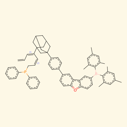 C=C/C=C(\C=C/CP(c1ccccc1)c1ccccc1)C12CC3CC(C1)CC(c1ccc(-c4ccc5oc6ccc(B(c7c(C)cc(C)cc7C)c7c(C)cc(C)cc7C)cc6c5c4)cc1)(C3)C2